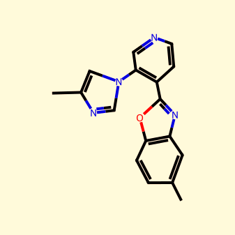 Cc1ccc2oc(-c3ccncc3-n3cnc(C)c3)nc2c1